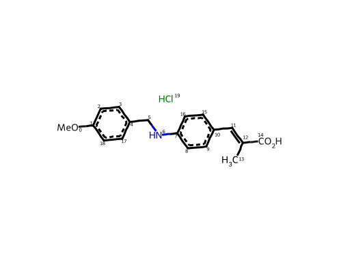 COc1ccc(CNc2ccc(C=C(C)C(=O)O)cc2)cc1.Cl